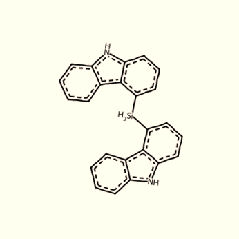 c1ccc2c(c1)[nH]c1cccc([SiH2]c3cccc4[nH]c5ccccc5c34)c12